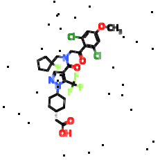 COc1cc(Cl)c(C(=O)CN(CC2(F)CCCC2)C(=O)c2cnn([C@H]3CC[C@H](CC(=O)O)CC3)c2C(F)(F)F)c(Cl)c1